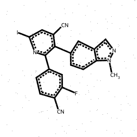 Cn1ncc2cc(-c3c(C#N)cc(I)nc3-c3ccc(C#N)c(F)c3)ccc21